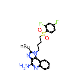 CCCCc1nc2c(N)nc3ccccc3c2n1CCCCS(=O)(=O)c1ccc(F)cc1F